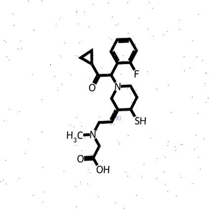 CN(C/C=C1\CN(C(C(=O)C2CC2)c2ccccc2F)CCC1S)CC(=O)O